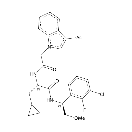 COC[C@@H](NC(=O)[C@H](CC1CC1)NC(=O)Cn1cc(C(C)=O)c2ccccc21)c1cccc(Cl)c1F